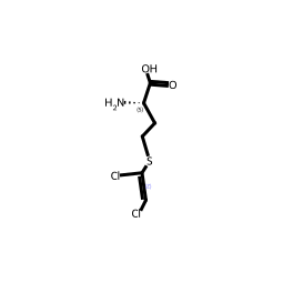 N[C@@H](CCS/C(Cl)=C/Cl)C(=O)O